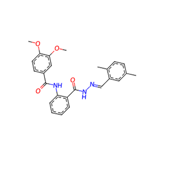 COc1ccc(C(=O)Nc2ccccc2C(=O)NN=Cc2cc(C)ccc2C)cc1OC